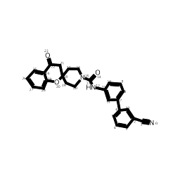 N#Cc1cccc(-c2cccc(NC(=O)N3CCC4(CC3)CC(=O)c3ccccc3O4)c2)c1